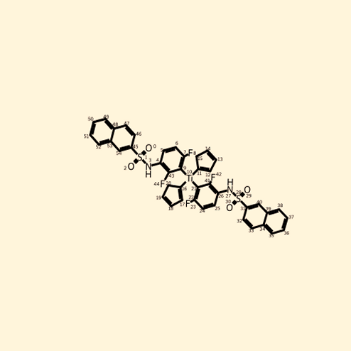 O=S(=O)(Nc1ccc(F)[c]([Ti]([C]2=CC=CC2)([C]2=CC=CC2)[c]2c(F)ccc(NS(=O)(=O)c3ccc4ccccc4c3)c2F)c1F)c1ccc2ccccc2c1